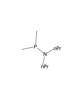 CCCN(CCC)P(C)C